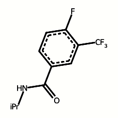 CC(C)NC(=O)c1ccc(F)c(C(F)(F)F)c1